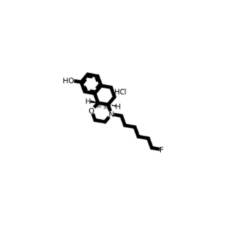 Cl.Oc1ccc2c(c1)[C@H]1OCCN(CCCCCCF)[C@@H]1CC2